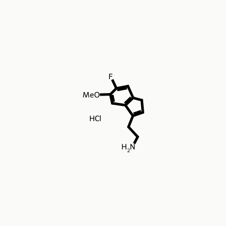 COc1cc2c(cc1F)CC=C2CCN.Cl